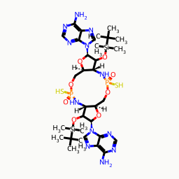 CC(C)(C)[Si](C)(C)OC1[C@H](n2cnc3c(N)ncnc32)O[C@@H]2COP(=O)(S)N[C@H]3C(O[Si](C)(C)C(C)(C)C)[C@H](n4cnc5c(N)ncnc54)O[C@@H]3COP(=O)(S)N[C@@H]12